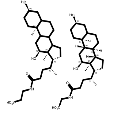 C[C@H](CCC(=O)NCC(=O)O)[C@H]1CC[C@H]2[C@@H]3CCC4C[C@H](O)CC[C@]4(C)[C@H]3C[C@H](O)[C@]12C.C[C@H](CCC(=O)NCCS(=O)(=O)O)[C@H]1CCC2C3CCC4C[C@H](O)CC[C@]4(C)C3C[C@H](O)[C@@]21C